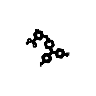 COC(=O)c1cncc(CN2CCN(C(c3ccc(F)cc3)c3ccc(F)cc3)CC2)c1